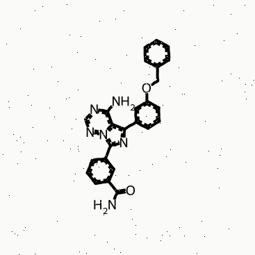 NC(=O)c1cccc(-c2nc(-c3cccc(OCc4ccccc4)c3)c3c(N)ncnn23)c1